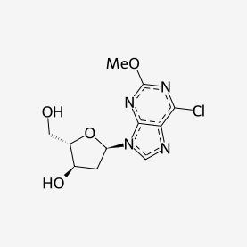 COc1nc(Cl)c2ncn([C@H]3C[C@@H](O)[C@H](CO)O3)c2n1